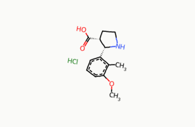 COc1cccc([C@H]2NCC[C@H]2C(=O)O)c1C.Cl